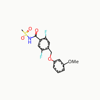 COc1cccc(OCc2cc(F)c(C(=O)NS(C)(=O)=O)cc2F)c1